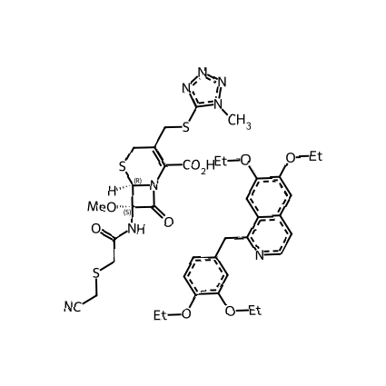 CCOc1ccc(Cc2nccc3cc(OCC)c(OCC)cc23)cc1OCC.CO[C@@]1(NC(=O)CSCC#N)C(=O)N2C(C(=O)O)=C(CSc3nnnn3C)CS[C@@H]21